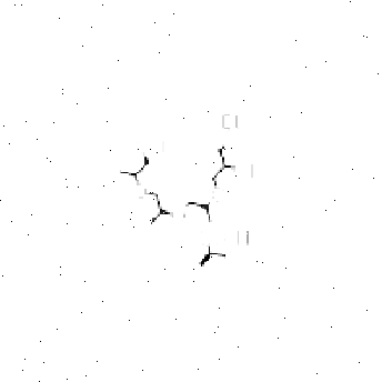 C=C(C)C(=O)O.CCOCC(O)COC(C)COC(C)COC(C)CO